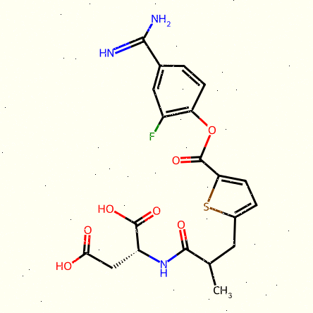 CC(Cc1ccc(C(=O)Oc2ccc(C(=N)N)cc2F)s1)C(=O)N[C@H](CC(=O)O)C(=O)O